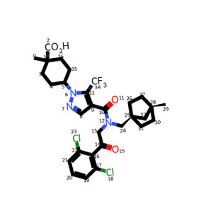 CC1(C(=O)O)CCC(n2ncc(C(=O)N(CC(=O)c3c(Cl)cccc3Cl)C[C@]34CC[C@](C)(CC3)C4)c2C(F)(F)F)CC1